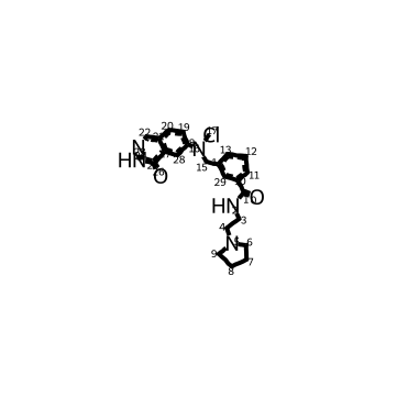 O=C(NCCN1CCCC1)c1cccc(CN(Cl)c2ccc3cn[nH]c(=O)c3c2)c1